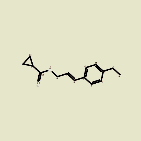 CCc1ccc(C=CCOC(=O)C2CC2)cc1